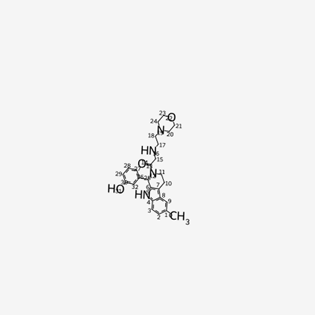 Cc1ccc2[nH]c3c(c2c1)CCN(C(=O)CNCCN1CCOCC1)C3c1cccc(O)c1